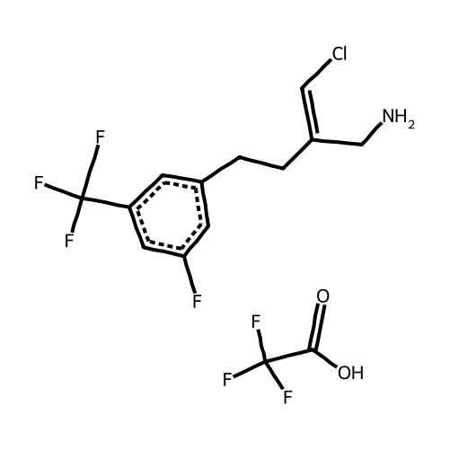 NCC(=CCl)CCc1cc(F)cc(C(F)(F)F)c1.O=C(O)C(F)(F)F